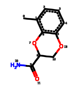 Cc1cccc2c1OC(C(N)=O)CO2